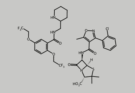 Cc1onc(-c2ccccc2Cl)c1C(=O)N[C@@H]1C(=O)N2[C@@H]1SC(C)(C)[C@@H]2C(=O)O.O=C(NCC1CCCCN1)c1cc(OCC(F)(F)F)ccc1OCC(F)(F)F